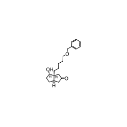 O=C1C[C@@H]2CC[C@@H](O)[C@]2(CCCCCOCc2ccccc2)C1